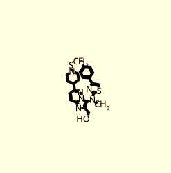 CSN1CCC(c2ccc3nc(CO)c(N(C)c4nc(-c5ccc(F)cc5)cs4)n3n2)CC1